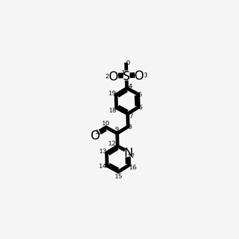 CS(=O)(=O)c1ccc(CC(C=O)c2ccccn2)cc1